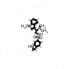 CN(C)C(CNS(=O)(=O)c1ccc2cc[nH]c2c1)c1cn(C)c2ccccc12